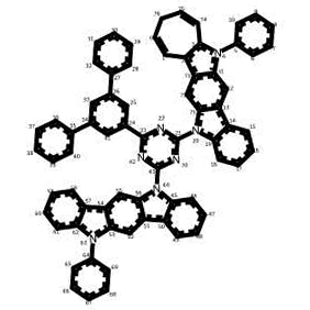 C1=Cc2c(n(-c3ccccc3)c3cc4c5ccccc5n(-c5nc(-c6cc(-c7ccccc7)cc(-c7ccccc7)c6)nc(-n6c7ccccc7c7cc8c(cc76)c6ccccc6n8-c6ccccc6)n5)c4cc23)C=CC1